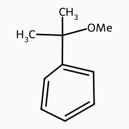 [C]OC(C)(C)c1ccccc1